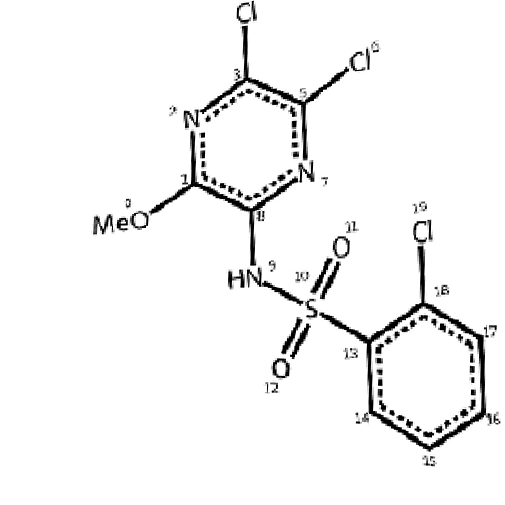 COc1nc(Cl)c(Cl)nc1NS(=O)(=O)c1ccccc1Cl